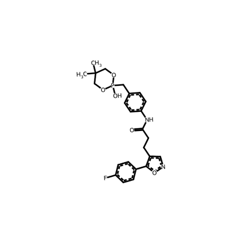 CC1(C)CO[P](O)(Cc2ccc(NC(=O)CCc3cnoc3-c3ccc(F)cc3)cc2)OC1